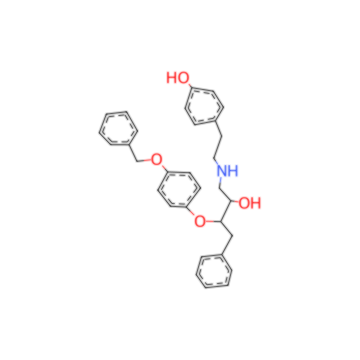 Oc1ccc(CCNCC(O)C(Cc2ccccc2)Oc2ccc(OCc3ccccc3)cc2)cc1